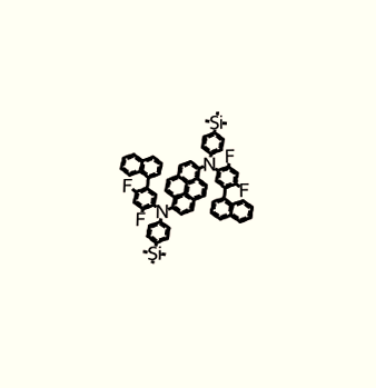 C[Si](C)(C)c1ccc(N(c2cc(-c3cccc4ccccc34)c(F)cc2F)c2ccc3ccc4c(N(c5ccc([Si](C)(C)C)cc5)c5cc(-c6cccc7ccccc67)c(F)cc5F)ccc5ccc2c3c54)cc1